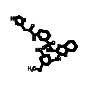 COc1cc(O)cc(Nc2nc3ccccc3nc2NS(=O)(=O)c2cccc(NC(=O)Cc3c[nH]cn3)c2)c1